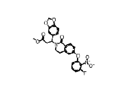 COC(=O)CC(c1ccc2c(c1)OCO2)N1CCc2cc(Oc3cccc(F)c3[N+](=O)[O-])ccc2C1=O